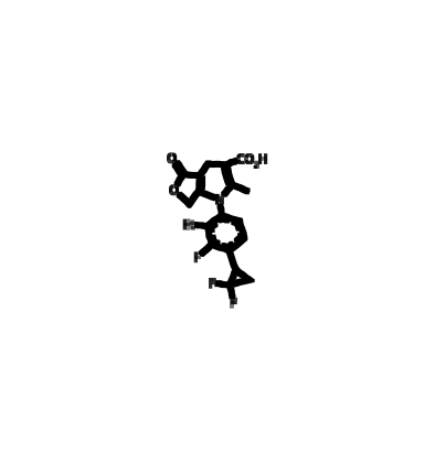 CCc1c(N2C(C)=C(C(=O)O)CC3=C2COC3=O)ccc(C2CC2(F)F)c1F